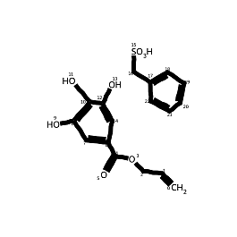 C=CCOC(=O)c1cc(O)c(O)c(O)c1.O=S(=O)(O)Cc1ccccc1